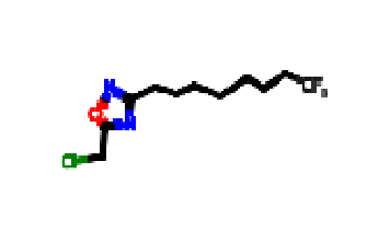 FC(F)(F)CCCCCCCc1noc(CCl)n1